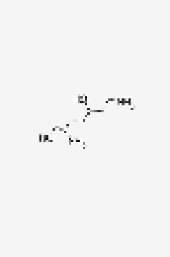 NCCC(O)CCC(N)CO